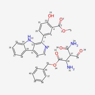 COC(=O)c1cc(-c2nccc3c2[nH]c2ccccc23)ccc1O.NC(=O)C(C=O)C(N)C(=O)OCc1ccccc1